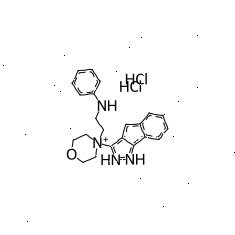 Cl.Cl.c1ccc(NCC[N+]2(c3[nH][nH]c4c5ccccc5cc3-4)CCOCC2)cc1